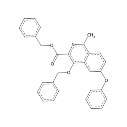 Cc1nc(C(=O)OCc2ccccc2)c(OCc2ccccc2)c2cc(Oc3ccccc3)ccc12